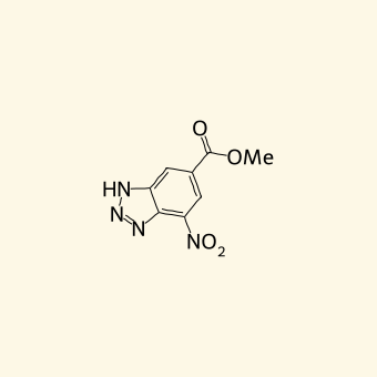 COC(=O)c1cc([N+](=O)[O-])c2nn[nH]c2c1